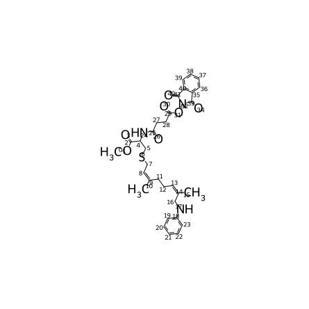 COC(=O)C(CSCC=C(C)CCC=C(C)CNc1ccccc1)NC(=O)CCC(=O)ON1C(=O)c2ccccc2C1=O